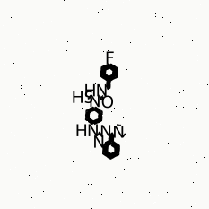 CN(C)c1nc(NC2CCC(N(S)C(=O)NCc3ccc(F)cc3)CC2)nc2ccccc12